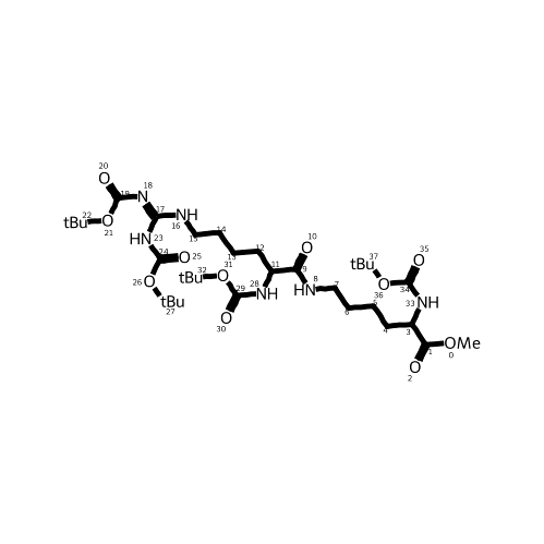 COC(=O)C(CCCCNC(=O)C(CCCCNC(=NC(=O)OC(C)(C)C)NC(=O)OC(C)(C)C)NC(=O)OC(C)(C)C)NC(=O)OC(C)(C)C